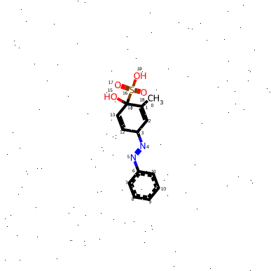 CC1=CC(/N=N/c2ccccc2)C=CC1(O)S(=O)(=O)O